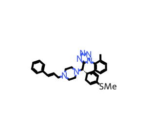 CSC1=CCC([C@@H](c2nnnn2-c2c(C)cccc2C)N2CCN(C/C=C/c3ccccc3)CC2)C=C1